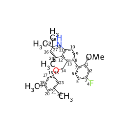 COc1cc(F)ccc1-c1ccc2c(c1COc1cc(C)cc(C)c1)C(C)=CC(C)(C)N2